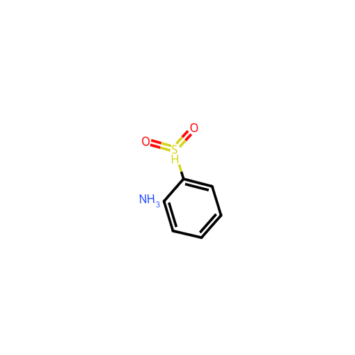 N.O=[SH](=O)c1ccccc1